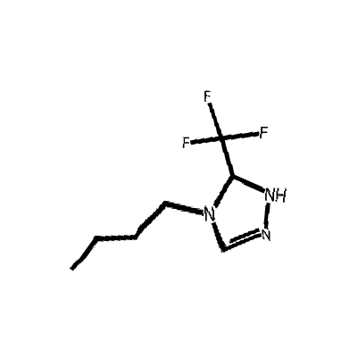 CCCCN1C=NNC1C(F)(F)F